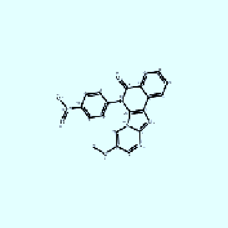 COc1cnc2nc3c4ccccc4c(=O)n(-c4ccc([N+](=O)[O-])cc4)c3n2c1